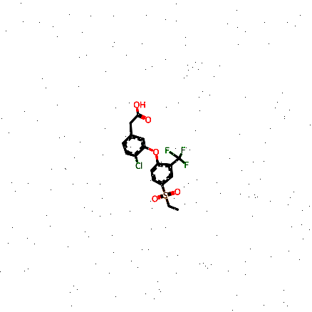 CCS(=O)(=O)c1ccc(Oc2cc(CC(=O)O)ccc2Cl)c(C(F)(F)F)c1